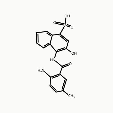 Cc1ccc(N)c(C(=O)Nc2c(O)cc(S(=O)(=O)O)c3ccccc23)c1